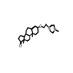 CN1CCN(CCOC2C=C3CCC4C5CCC(=O)C5(C)CCC4C3(C)CC2)CC1